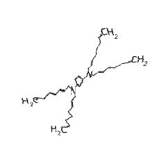 C=CCCCC=CCN(CC=CCCCC=C)c1ccc(N(CC=CCCCC=C)CC=CCCCC=C)cc1